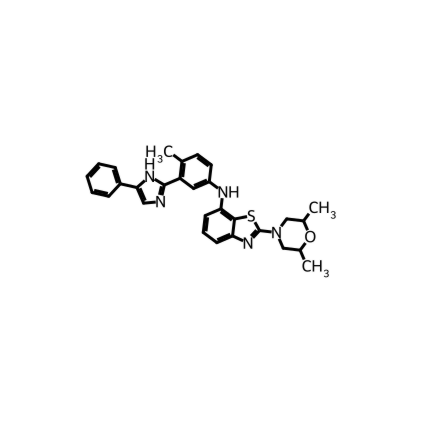 Cc1ccc(Nc2cccc3nc(N4CC(C)OC(C)C4)sc23)cc1-c1ncc(-c2ccccc2)[nH]1